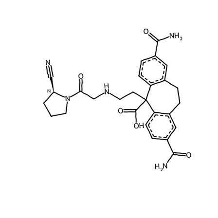 N#C[C@@H]1CCCN1C(=O)CNCCC1(C(=O)O)c2ccc(C(N)=O)cc2CCc2cc(C(N)=O)ccc21